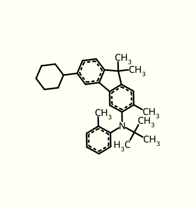 Cc1ccccc1N(c1cc2c(cc1C)C(C)(C)c1ccc(C3CCCCC3)cc1-2)C(C)(C)C